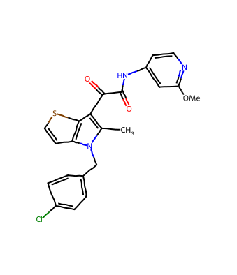 COc1cc(NC(=O)C(=O)c2c(C)n(Cc3ccc(Cl)cc3)c3ccsc23)ccn1